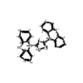 c1ccc2c(c1)Sc1ccccc1N2c1nsc(N2c3ccccc3Sc3ccccc32)n1